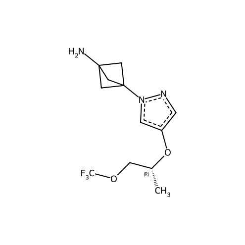 C[C@H](COC(F)(F)F)Oc1cnn(C23CC(N)(C2)C3)c1